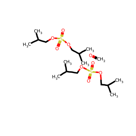 C=O.CC(C)COS(=O)(=O)OCC(C)C.CC(C)COS(=O)(=O)OCC(C)C